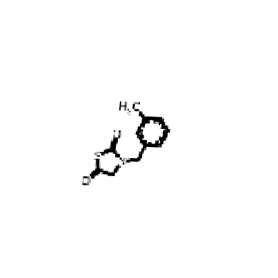 Cc1cccc(CN2CC(=O)SC2=O)c1